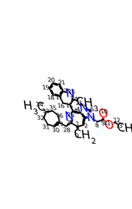 C=C1C=c2c(ncn2CC(=O)OCC)=C(C2Cc3ccccc3N=C2C)N=C1CC1=CCCC(C)CC1